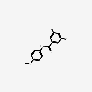 CSc1ccc(NC(=S)c2cc(F)cc(F)c2)cc1